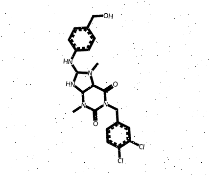 CN1C(=O)N(Cc2ccc(Cl)c(Cl)c2)C(=O)C2C1NC(Nc1ccc(CO)cc1)N2C